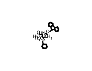 CC(C)(SCc1ccccc1)[C@@H](NC(=O)OCC1c2ccccc2-c2ccccc21)C(=O)O